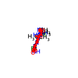 CCc1cc(Nc2ncc(Br)c(Nc3ccc4nccnc4c3P(C)(C)=O)n2)c(OC)cc1N1CCC(C2CCN(CCC3CCN(c4cc(F)c(C5CCC(=O)NC5=O)c(F)c4)CC3)CC2)CC1